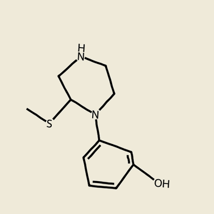 CSC1CNCCN1c1cccc(O)c1